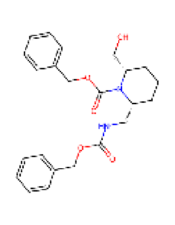 O=C(NC[C@H]1CCC[C@@H](CO)N1C(=O)OCc1ccccc1)OCc1ccccc1